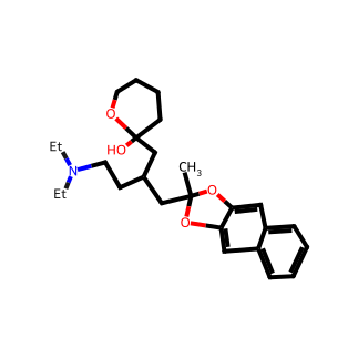 CCN(CC)CCC(CC1(O)CCCCO1)CC1(C)Oc2cc3ccccc3cc2O1